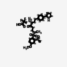 COc1ccc(S(=O)(=O)N(C)CCC(=O)N(C)CCc2ccc(C3=NCCN3)cc2)c([N+](=O)[O-])c1.O=C(O)C(F)(F)F